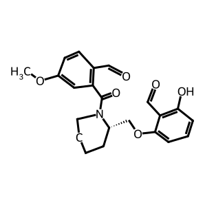 COc1ccc(C=O)c(C(=O)N2CCCC[C@H]2COc2cccc(O)c2C=O)c1